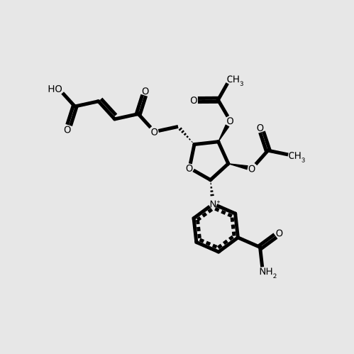 CC(=O)O[C@@H]1[C@H](OC(C)=O)[C@@H](COC(=O)/C=C/C(=O)O)O[C@H]1[n+]1cccc(C(N)=O)c1